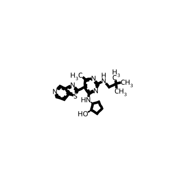 Cc1nc(NCC(C)(C)C)nc(N[C@@H]2CCC[C@H]2O)c1-c1nc2cnccc2s1